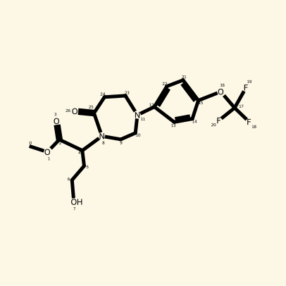 COC(=O)C(CCO)N1CCN(c2ccc(OC(F)(F)F)cc2)CCC1=O